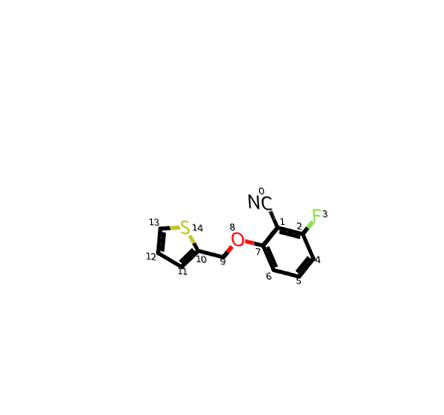 N#Cc1c(F)cccc1OCc1cccs1